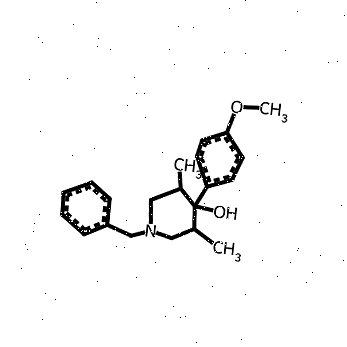 COc1ccc(C2(O)C(C)CN(Cc3ccccc3)CC2C)cc1